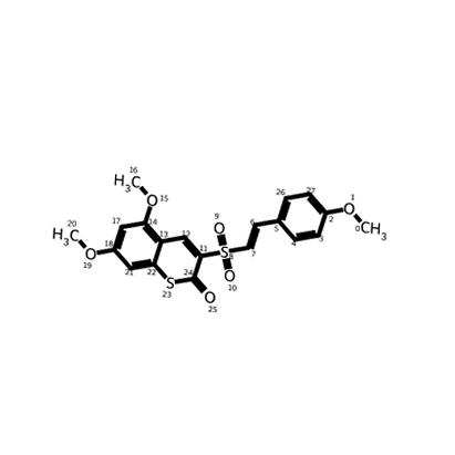 COc1ccc(C=CS(=O)(=O)c2cc3c(OC)cc(OC)cc3sc2=O)cc1